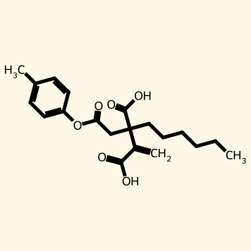 C=C(C(=O)O)C(CCCCCC)(CC(=O)Oc1ccc(C)cc1)C(=O)O